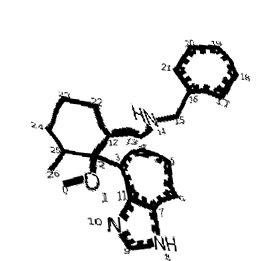 COC1(c2cccc3[nH]cnc23)/C(=C/NCc2ccccc2)CCCC1C